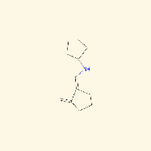 C=C1CCCC1=CNC1CCCC1